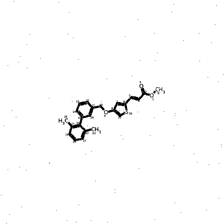 COC(=O)C=Cc1cc(OCc2cccc(-c3c(C)cccc3C)c2)cs1